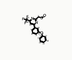 O=[S+]Cc1nc(-c2cccc(Oc3ccccc3)c2)cc(C(F)(F)F)n1